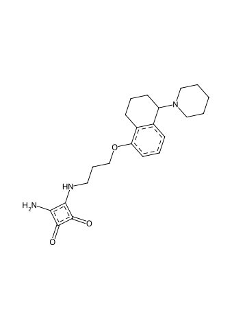 Nc1c(NCCCOc2cccc3c2CCCC3N2CCCCC2)c(=O)c1=O